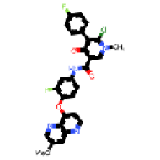 COc1cnc2c(Oc3ccc(NC(=O)c4cn(C)c(Cl)c(-c5ccc(F)cc5)c4=O)cc3F)ccnc2c1